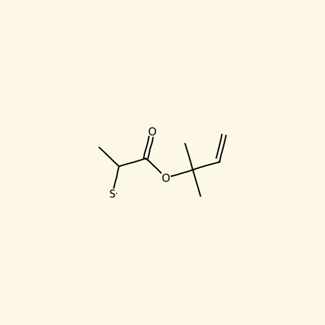 C=CC(C)(C)OC(=O)C(C)[S]